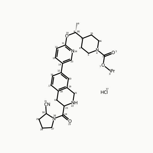 CC(C)OC(=O)N1CCC([C@@H](C)Oc2ccc(-c3ccc4c(c3)CNC(C(=O)N3CCCC3C#N)C4)cn2)CC1.Cl